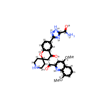 COc1cc(C(=O)[C@H]2C(=O)c3cc(-c4n[nH]c(C(N)=O)n4)ccc3OC23CCNCC3)nc2c(OC)cccc12